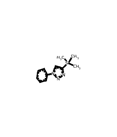 C[Si](C)(C)c1cn(-c2[c]cccc2)nn1